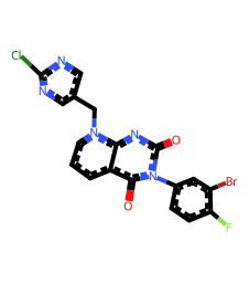 O=c1nc2n(Cc3cnc(Cl)nc3)cccc-2c(=O)n1-c1ccc(F)c(Br)c1